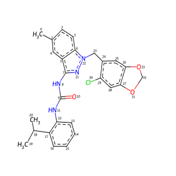 Cc1ccc2c(c1)c(NC(=O)Nc1ccccc1C(C)C)nn2Cc1cc2c(cc1Cl)OCO2